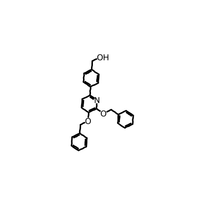 OCc1ccc(-c2ccc(OCc3ccccc3)c(OCc3ccccc3)n2)cc1